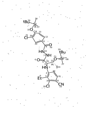 CCc1c(N[C@@H](C(=O)NNC(=O)c2ccc(O[Si](C)(C)C(C)(C)C)c(Cl)c2)[C@@H](I)O[Si](C)(C)C(C)(C)C)ccc(C#N)c1Cl